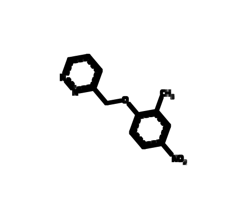 Cc1cc([N+](=O)[O-])ccc1OCc1cccnn1